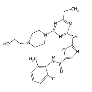 CCc1nc(Nc2ncc(C(=O)Nc3c(C)cccc3Cl)o2)nc(N2CCN(CCO)CC2)n1